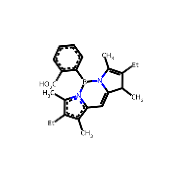 CCC1=C(C)N2B(c3ccccc3C(=O)O)n3c(C)c(CC)c(C)c3C=C2C1C